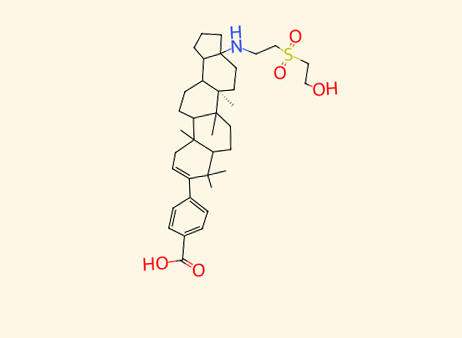 CC1(C)C(c2ccc(C(=O)O)cc2)=CCC2(C)C1CCC1(C)C2CCC2C3CCCC3(NCCS(=O)(=O)CCO)CC[C@]21C